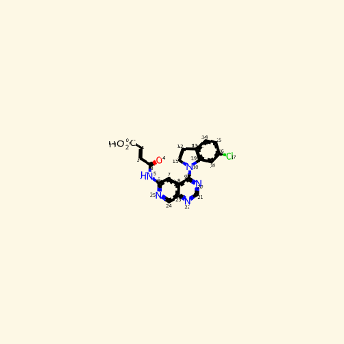 O=C(O)C=CC(=O)Nc1cc2c(N3CCc4ccc(Cl)cc43)ncnc2cn1